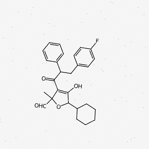 CC1(C=O)OC(C2CCCCC2)C(O)=C1C(=O)C(Cc1ccc(F)cc1)c1ccccc1